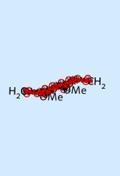 C=CC(=O)OCCCCOc1ccc(C(=O)Oc2ccc(OC(=O)C3CCC(C(=O)Oc4ccc(OC(=O)c5ccc(OCCCCOC(=O)C=C)cc5C(=O)OC)cc4)CC3)c(C(=O)OC)c2)cc1